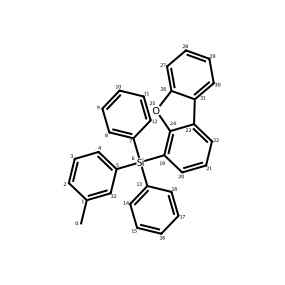 Cc1cccc([Si](c2ccccc2)(c2ccccc2)c2cccc3c2oc2ccccc23)c1